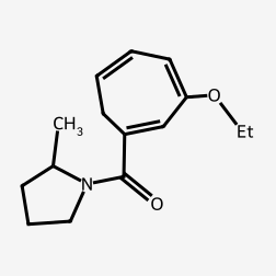 CCOC1=CC=CCC(C(=O)N2CCCC2C)=C1